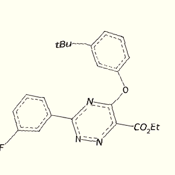 CCOC(=O)c1nnc(-c2cccc(F)c2)nc1Oc1cccc(C(C)(C)C)c1